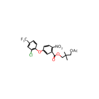 CC(=O)OCC(C)(C)COC(=O)c1cc(Oc2ccc(C(F)(F)F)cc2Cl)ccc1[N+](=O)[O-]